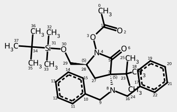 CC(=O)ON1C(=O)[C@@](N(Cc2ccccc2)Cc2ccccc2)(C(C)(C)C)C[C@H]1CO[Si](C)(C)C(C)(C)C